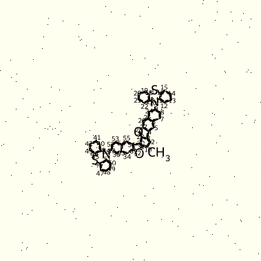 Cc1cc2c3cc4ccc(N5c6ccccc6Sc6ccccc65)cc4cc3oc2c2c1oc1cc3cc(N4c5ccccc5Sc5ccccc54)ccc3cc12